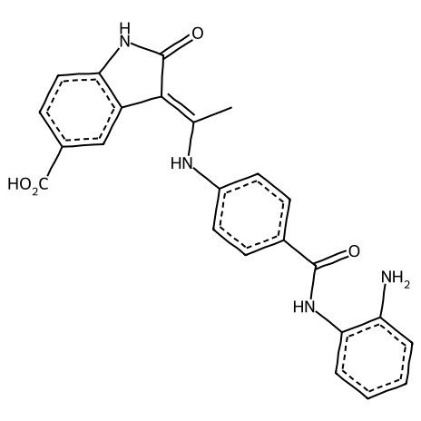 CC(Nc1ccc(C(=O)Nc2ccccc2N)cc1)=C1C(=O)Nc2ccc(C(=O)O)cc21